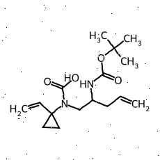 C=CCC(CN(C(=O)O)C1(C=C)CC1)NC(=O)OC(C)(C)C